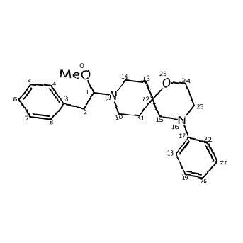 COC(Cc1ccccc1)N1CCC2(CC1)CN(c1ccccc1)CCO2